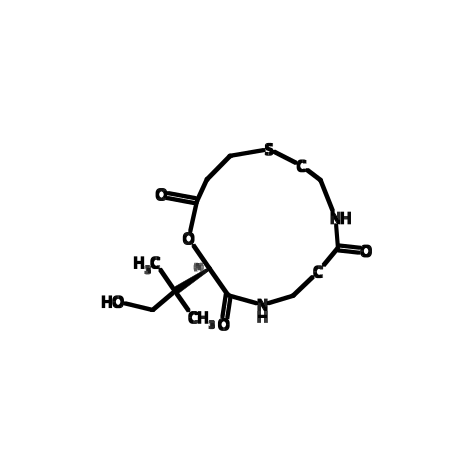 CC(C)(CO)[C@H]1OC(=O)CCSCCNC(=O)CCNC1=O